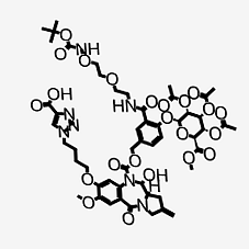 C=C1C[C@H]2C(O)N(C(=O)OCc3ccc(O[C@@H]4O[C@H](C(=O)OC)[C@@H](OC(C)=O)[C@H](OC(C)=O)[C@H]4OC(C)=O)c(C(=O)NCCOCCONC(=O)OC(C)(C)C)c3)c3cc(OCCCCn4cc(C(=O)O)nn4)c(OC)cc3C(=O)N2C1